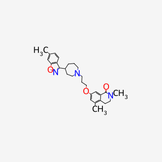 Cc1ccc2c(C3CCCN(CCCOc4cc(C)c5c(c4)C(=O)N(C)CC5)CC3)noc2c1